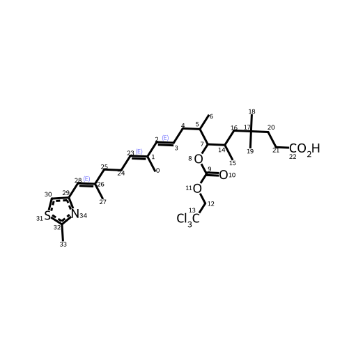 CC(/C=C/CC(C)C(OC(=O)OCC(Cl)(Cl)Cl)C(C)CC(C)(C)CCC(=O)O)=C\CC/C(C)=C/c1csc(C)n1